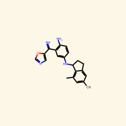 Cc1cc(C#N)cc2c1C(Nc1ccc(N)c(C(=N)c3cnco3)c1)CC2